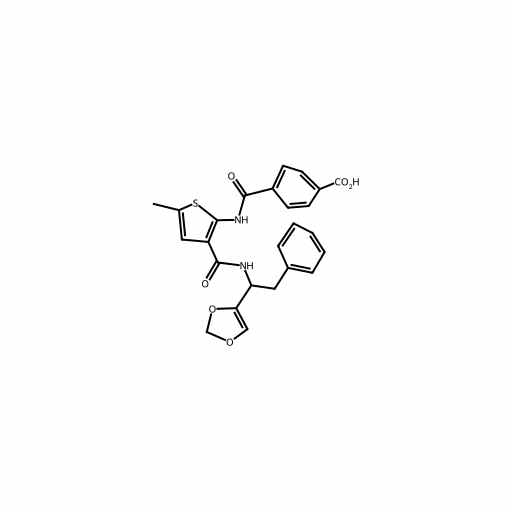 Cc1cc(C(=O)NC(Cc2ccccc2)C2=COCO2)c(NC(=O)c2ccc(C(=O)O)cc2)s1